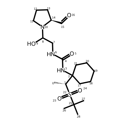 C[C@H](C1(NC(=O)NCC(O)N2CCC[C@H]2C=O)CCCCC1)S(=O)(=O)C(C)(C)C